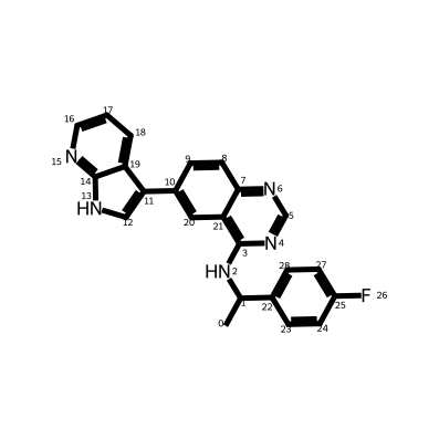 CC(Nc1ncnc2ccc(-c3c[nH]c4ncccc34)cc12)c1ccc(F)cc1